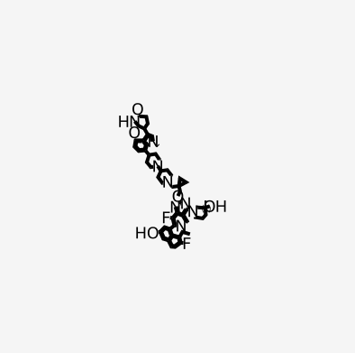 CCc1c(F)ccc2cc(O)cc(-c3ncc4c(N5CCC[C@@](C)(O)C5)nc(OCC5(CN6CCC(N7CCC(c8cccc9c(C%10CCC(=O)NC%10=O)cn(C)c89)CC7)CC6)CC5)nc4c3F)c12